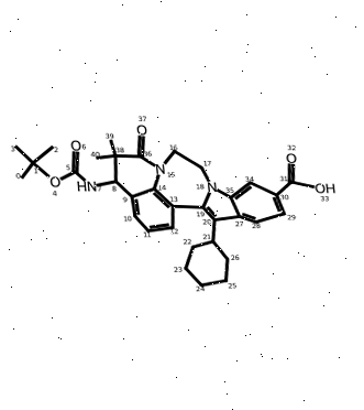 CC(C)(C)OC(=O)NC1c2cccc3c2N(CCn2c-3c(C3CCCCC3)c3ccc(C(=O)O)cc32)C(=O)C1(C)C